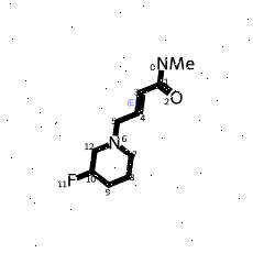 CNC(=O)/C=C/CN1CCCC(F)C1